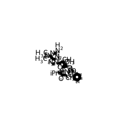 CC(C)OC(=O)[C@H](C)NP(=O)(Oc1ccccc1)OC1[C@]2(O)[C@@](C)(F)[C@H](n3cnc4c(N(C)C)nc(N)nc43)O[C@]12F